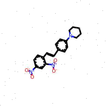 O=[N+]([O-])c1ccc(C=Cc2ccc(N3CCCCC3)cc2)c([N+](=O)[O-])c1